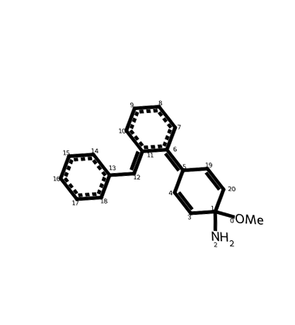 COC1(N)C=CC(=c2ccccc2=Cc2ccccc2)C=C1